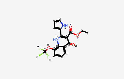 CCOC(=O)c1c(-c2ccc[nH]2)[nH]c2c(OC(F)(F)F)cccc2c1=O